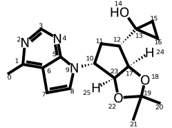 Cc1ncnc2c1ccn2[C@@H]1C[C@H](C2(O)CC2)[C@H]2OC(C)(C)O[C@H]21